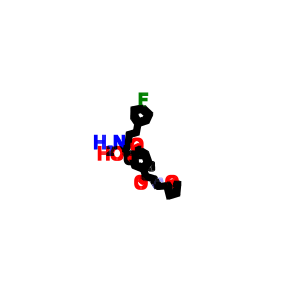 CC(O)C(N)(CCc1ccc(F)cc1)Oc1ccc(C(=O)/C=C/c2ccco2)cc1